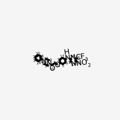 O=C(COC1CCC(Nc2cnc([N+](=O)[O-])c(C(F)(F)F)n2)CC1)N1CCN(c2ccccc2)CC1